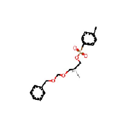 Cc1ccc(S(=O)(=O)OC[C@H](C)COCOCc2ccccc2)cc1